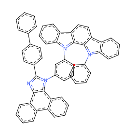 c1ccc(-c2ccc(-c3nc4c5ccccc5c5ccccc5c4n3-c3cccc(-n4c5ccccc5c5ccc6c7ccccc7n(-c7ccccc7)c6c54)c3)cc2)cc1